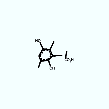 CC(=O)O.Cc1cc(O)c(C)c(C)c1O